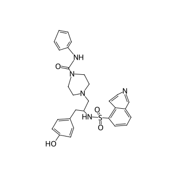 O=C(Nc1ccccc1)N1CCN(CC(Cc2ccc(O)cc2)NS(=O)(=O)c2cccc3cnccc23)CC1